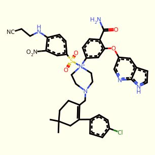 CC1(C)CCC(CN2CC[N+](c3ccc(C(N)=O)c(Oc4cnc5[nH]ccc5c4)c3)(S(=O)(=O)c3ccc(NCCC#N)c([N+](=O)[O-])c3)CC2)=C(c2ccc(Cl)cc2)C1